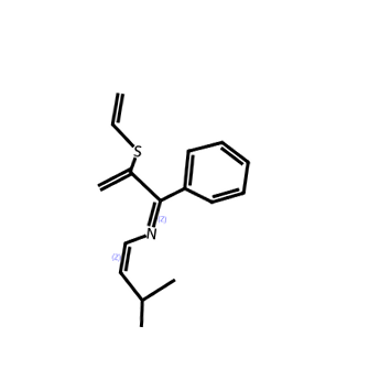 C=CSC(=C)/C(=N\C=C/C(C)C)c1ccccc1